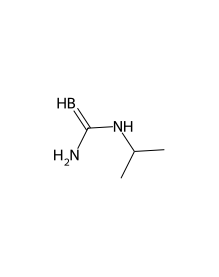 B=C(N)NC(C)C